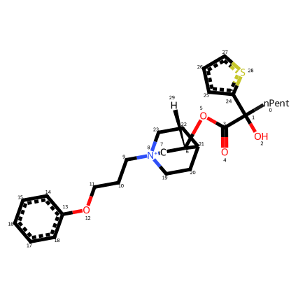 CCCCCC(O)(C(=O)O[C@H]1C[N+]2(CCCOc3ccccc3)CCC1CC2)c1cccs1